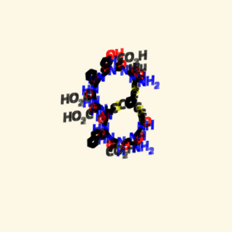 C[C@H]1NC(=O)CCSCc2cc3cc(c2)CSC[C@@H](NC(=O)[C@@H](C)NC(=O)[C@H](Cc2cccc4ccccc24)NC(=O)[C@H](CCC(=O)O)NC(=O)[C@H](CC(N)=O)NC1=O)C(=O)N[C@@H](CCC(=O)O)C(=O)N[C@@H](CC(=O)O)C(=O)N[C@@H](Cc1ccccc1)C(=O)N[C@@H](Cc1ccc(O)cc1)C(=O)N[C@@H](CCC(=O)O)C(=O)N[C@@H](C(C)(C)C)C(=O)NC(C(N)=O)CSC3